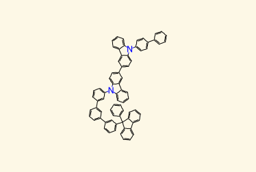 c1ccc(-c2ccc(-n3c4ccccc4c4cc(-c5ccc6c(c5)c5ccccc5n6-c5cccc(-c6cccc(-c7cccc(C8(c9ccccc9)c9ccccc9-c9ccccc98)c7)c6)c5)ccc43)cc2)cc1